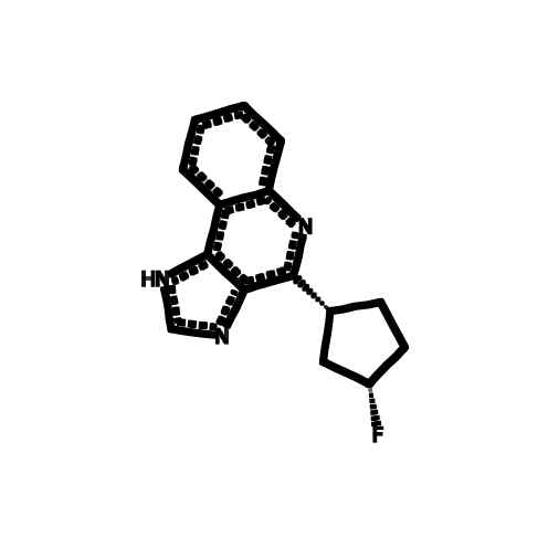 F[C@H]1CC[C@@H](c2nc3ccccc3c3[nH]cnc23)C1